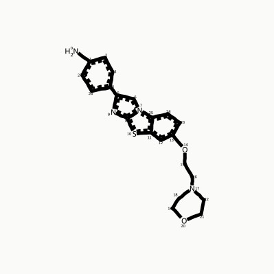 Nc1ccc(-c2cn3c(n2)sc2cc(OCCN4CCOCC4)ccc23)cc1